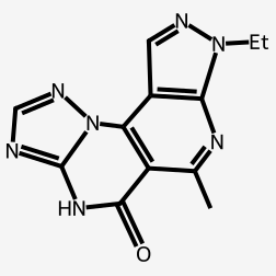 CCn1ncc2c1nc(C)c1c(=O)[nH]c3ncnn3c12